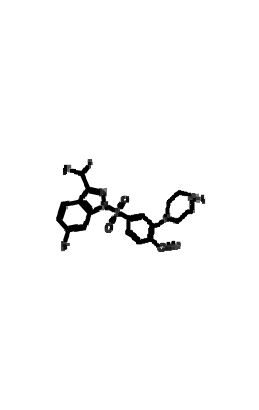 COc1ccc(S(=O)(=O)n2nc(C(F)F)c3ccc(Br)cc32)cc1N1CCNCC1